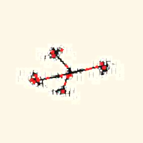 CC(=O)NC(OC(C)=O)C(OCCCCCCCCCCCC(=O)NCCCCC(NC(=O)C(CCCCNC(=O)CCCCCCCCCCCOC1OC(COC(C)=O)C(OC(C)=O)C(OC(C)=O)C1NC(C)=O)NC(=O)CCCCCCCCCCCOC1OC(COC(C)=O)C(OC(C)=O)C(OC(C)=O)C1NC(C)=O)C(=O)NCCCCCCOP(OCCC#N)N(C(C)C)C(C)C)OC(COC(C)=O)C(C)OC(C)=O